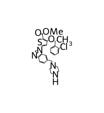 COC(=O)c1sc(-n2cnc3ccc(CN4CCNCC4)cc32)cc1O[C@H](C)c1ccccc1Cl